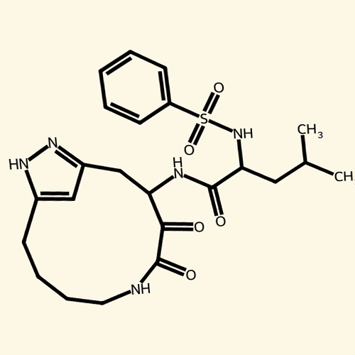 CC(C)CC(NS(=O)(=O)c1ccccc1)C(=O)NC1Cc2cc([nH]n2)CCCCNC(=O)C1=O